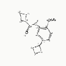 COc1ccc(C2CCC2)cc1OC(=O)C1CCC1